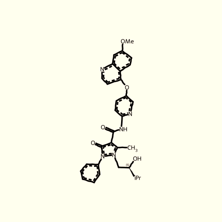 COc1ccc2c(Oc3ccc(NC(=O)c4c(C)n(C[C@@H](O)C(C)C)n(-c5ccccc5)c4=O)nc3)ccnc2c1